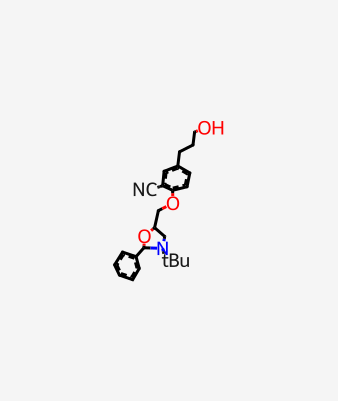 CC(C)(C)N1CC(COc2ccc(CCCO)cc2C#N)OC1c1ccccc1